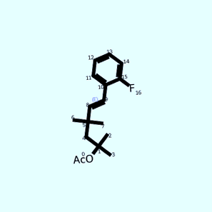 CC(=O)OC(C)(C)CC(C)(C)/C=C/c1ccccc1F